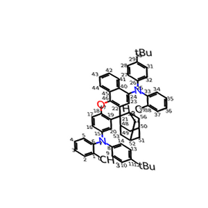 Cc1ccccc1N(c1ccc(C(C)(C)C)cc1)c1ccc2c(c1)C1(c3cc(N(c4ccc(C(C)(C)C)cc4)c4ccccc4C)c4ccccc4c3O2)C2CC3CC(C2)CC1C3